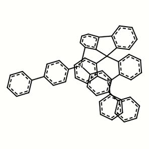 c1ccc(-c2ccc(N(c3ccc(-c4ccccc4)cc3)c3cccc4c3C3(c5ccccc5-4)c4ccccc4N(c4ccccc4)c4ccccc43)cc2)cc1